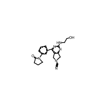 N#CN1Cc2nc(NCCO)nc(-c3cccc(N4CCCC4=O)c3)c2C1